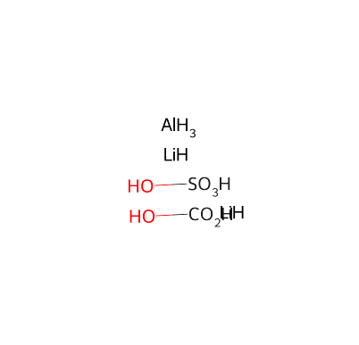 O=C(O)O.O=S(=O)(O)O.[AlH3].[LiH].[LiH]